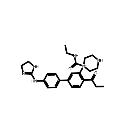 CCNC(=O)[N+]1(c2cc(-c3ccc(NC4=NCCN4)cc3)ccc2C(=O)CC)CCNCC1